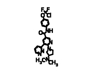 CN(C)[C@@H]1CCN(c2ncc(C(=O)Nc3ccc(OC(F)(F)Cl)cc3)cc2-c2cccnn2)C1